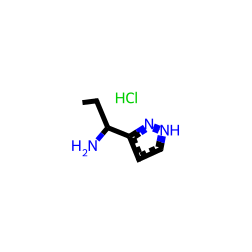 CCC(N)c1cc[nH]n1.Cl